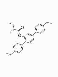 C=C(CC)C(=O)Oc1cc(-c2ccc(CC)cc2)ccc1-c1ccc(CC)cc1